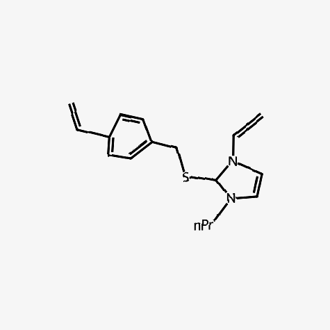 C=Cc1ccc(CSC2N(C=C)C=CN2CCC)cc1